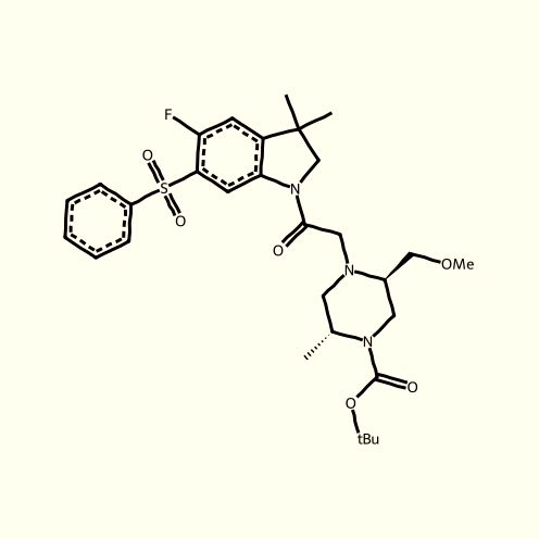 COC[C@H]1CN(C(=O)OC(C)(C)C)[C@H](C)CN1CC(=O)N1CC(C)(C)c2cc(F)c(S(=O)(=O)c3ccccc3)cc21